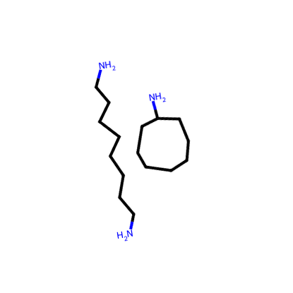 NC1CCCCCCC1.NCCCCCCCCN